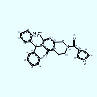 Cc1nc2c(c(=O)n1C(c1ccccc1)c1ccccc1)CCN(C(=O)c1ccoc1)C2